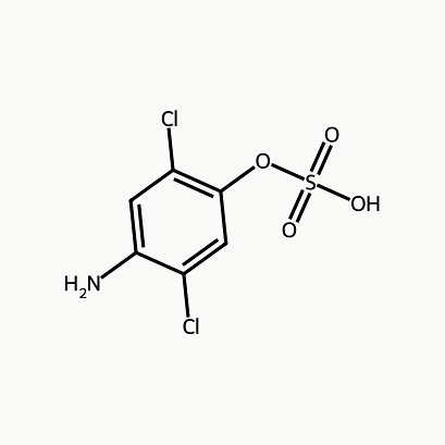 Nc1cc(Cl)c(OS(=O)(=O)O)cc1Cl